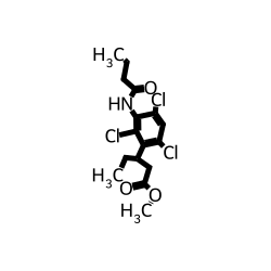 CCCC(=O)Nc1c(Cl)cc(Cl)c(C(CC)CC(=O)OC)c1Cl